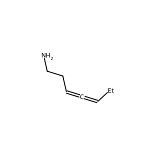 CCC=C=CCCN